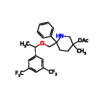 CC(=O)OC1(C)CCC(COC(C)c2cc(C(F)(F)F)cc(C(F)(F)F)c2)(c2ccccc2)NC1